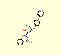 N[C@@H](Cc1ccc(-c2ccncc2)cc1)C[C@@H](O)[C@H](Cc1ccccc1)NC(=O)O